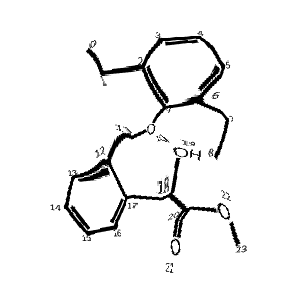 CCc1cccc(CC)c1OCc1ccccc1C(O)C(=O)OC